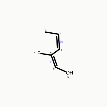 C/C=C\C(F)=C/O